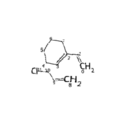 C=CC1=CCCCC1.C=CCCl